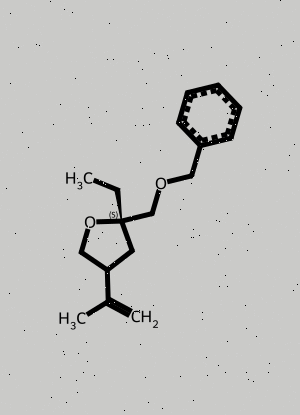 C=C(C)C1CO[C@](CC)(COCc2ccccc2)C1